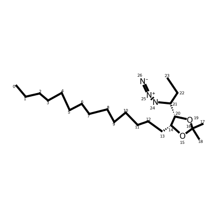 CCCCCCCCCCCCCC[C@H]1OC(C)(C)O[C@H]1C(CC)N=[N+]=[N-]